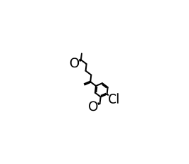 C=C(CCCC(C)=O)c1ccc(Cl)c(C=O)c1